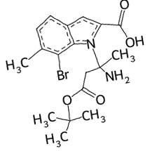 Cc1ccc2cc(C(=O)O)n(C(C)(N)CC(=O)OC(C)(C)C)c2c1Br